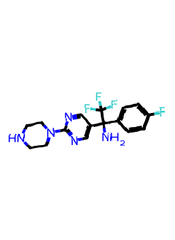 NC(c1ccc(F)cc1)(c1cnc(N2CCNCC2)nc1)C(F)(F)F